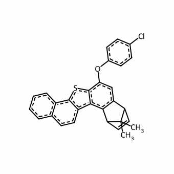 CC1(C)C2C=CC1c1c2cc(Oc2ccc(Cl)cc2)c2sc3c4ccccc4ccc3c12